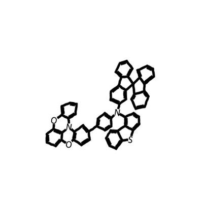 c1ccc2c(c1)Oc1cccc3c1N2c1cc(-c2ccc(N(c4ccc5c(c4)C4(c6ccccc6-c6ccccc64)c4ccccc4-5)c4cccc5sc6ccccc6c45)cc2)ccc1O3